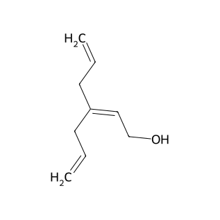 C=CCC(=CCO)CC=C